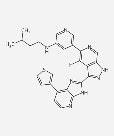 CC(C)CCNc1cncc(-c2ncc3[nH]nc(-c4nc5c(-c6ccsc6)ccnc5[nH]4)c3c2F)c1